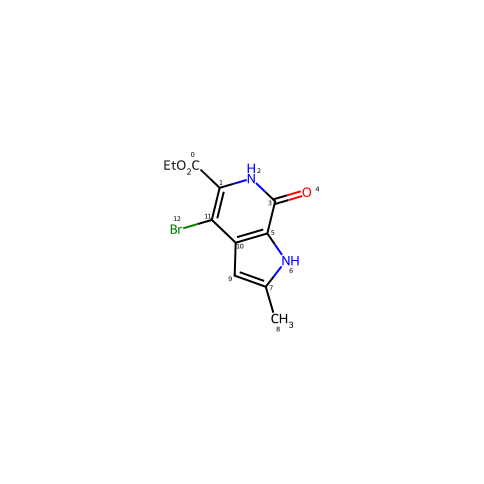 CCOC(=O)c1[nH]c(=O)c2[nH]c(C)cc2c1Br